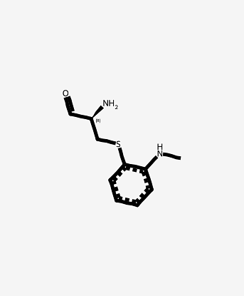 CNc1ccccc1SC[C@H](N)C=O